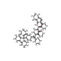 c1ccc(-c2ccc(-c3ccccc3N(c3ccc(-c4ccc5sc6ccccc6c5c4)cc3)c3ccc(C4(c5ccccc5)c5ccccc5-c5ccccc54)cc3)cc2)cc1